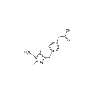 Cc1nn(Cc2ccc(CC(=O)O)cc2)c(C)c1N